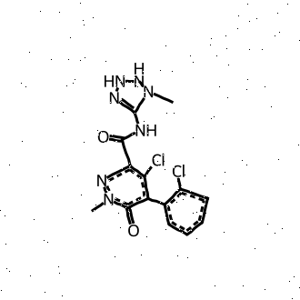 CN1NNN=C1NC(=O)c1nn(C)c(=O)c(-c2ccccc2Cl)c1Cl